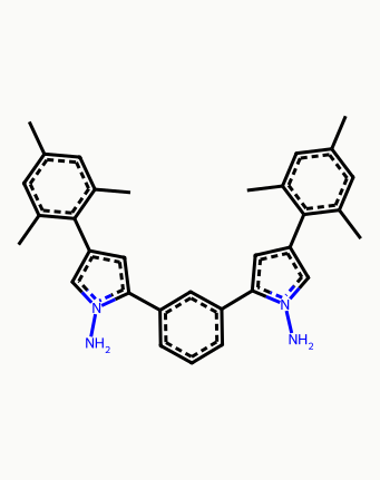 Cc1cc(C)c(-c2cc(-c3cccc(-c4cc(-c5c(C)cc(C)cc5C)cn4N)c3)n(N)c2)c(C)c1